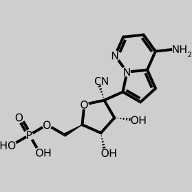 N#C[C@@]1(c2ccc3c(N)ccnn23)O[C@H](COP(=O)(O)O)[C@@H](O)[C@H]1O